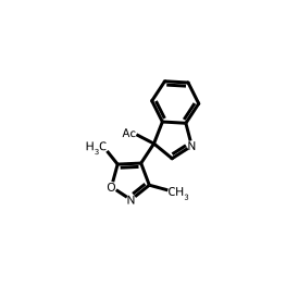 CC(=O)C1(c2c(C)noc2C)C=Nc2ccccc21